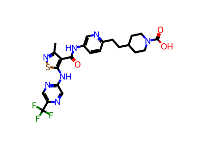 Cc1nsc(Nc2cnc(C(F)(F)F)cn2)c1C(=O)Nc1ccc(CCC2CCN(C(=O)O)CC2)nc1